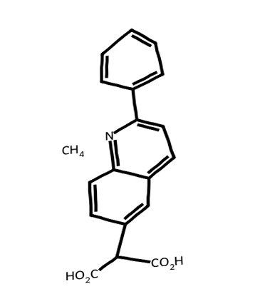 C.O=C(O)C(C(=O)O)c1ccc2nc(-c3ccccc3)ccc2c1